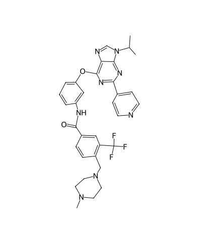 CC(C)n1cnc2c(Oc3cccc(NC(=O)c4ccc(CN5CCN(C)CC5)c(C(F)(F)F)c4)c3)nc(-c3ccncc3)nc21